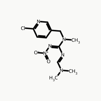 CN(C)C=NC(=N[N+](=O)[O-])N(C)Cc1ccc(Cl)nc1